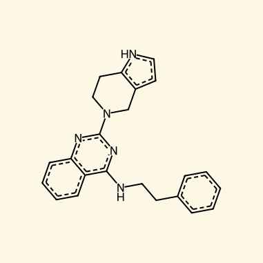 c1ccc(CCNc2nc(N3CCc4[nH]ccc4C3)nc3ccccc23)cc1